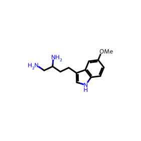 COc1ccc2[nH]cc(CCC(N)CN)c2c1